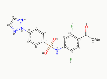 COC(=O)c1cc(F)c(NS(=O)(=O)c2ccc(-n3nccn3)cc2)cc1F